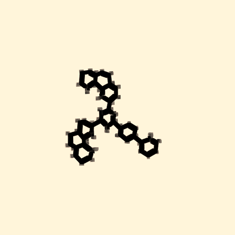 c1ccc(-c2ccc(-c3nc(-c4ccc5ccc6cccnc6c5n4)nc(-c4ccc5ccc6cccnc6c5n4)n3)cc2)nc1